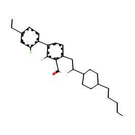 CCCCCC1CCC(C2Cc3ccc(-c4ccc(CC)cc4F)c(F)c3C(=O)O2)CC1